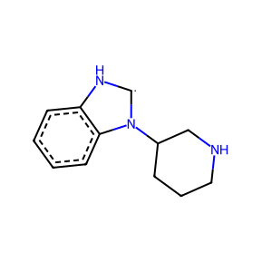 [CH]1Nc2ccccc2N1C1CCCNC1